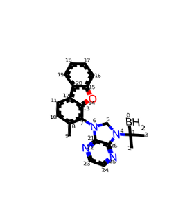 BC(C)(C)N1CN(c2c(C)ccc3c2oc2ccccc23)c2nccnc21